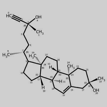 C#C[C@](C)(O)CC[C@@H](C)C1CC[C@H]2[C@@H]3CC=C4C[C@@](C)(O)CC[C@]4(C)[C@H]3CC[C@]12C